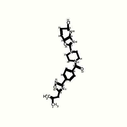 C=C(C)Cc1nc(-c2ccc(C(=O)N3CCN(c4nc5nc(Cl)ccc5o4)CC3)cc2)no1